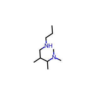 CCCNCC(C)C(C)N(C)C